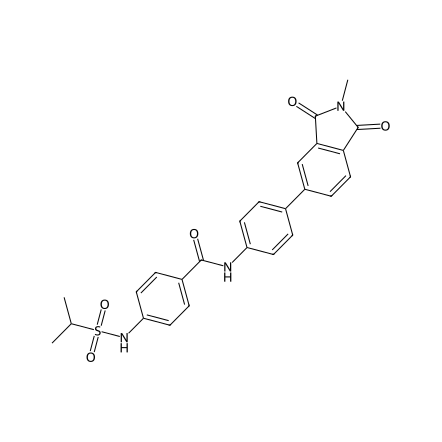 CC(C)S(=O)(=O)Nc1ccc(C(=O)Nc2ccc(-c3ccc4c(c3)C(=O)N(C)C4=O)cc2)cc1